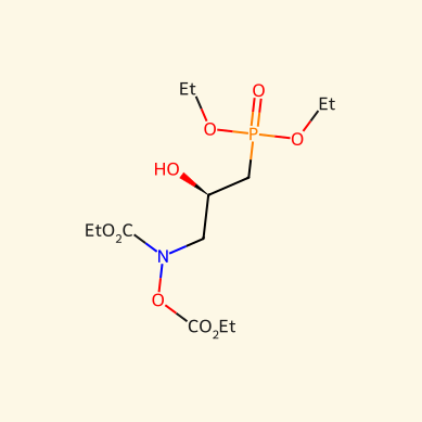 CCOC(=O)ON(C[C@@H](O)CP(=O)(OCC)OCC)C(=O)OCC